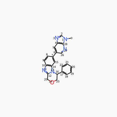 Cn1cnc2cc(-c3ccc4nc5n(c4c3)C(c3ccccc3)COC5)cnc21